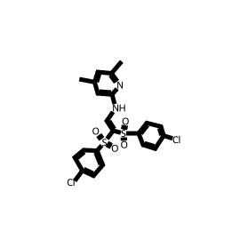 Cc1cc(C)nc(NC=C(S(=O)(=O)c2ccc(Cl)cc2)S(=O)(=O)c2ccc(Cl)cc2)c1